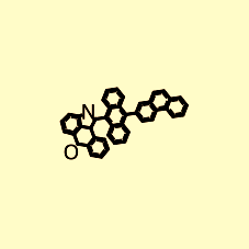 O=C1c2ccccc2C2C(c3c4ccccc4c(-c4ccc5c(ccc6ccccc65)c4)c4ccccc34)=Nc3cccc1c32